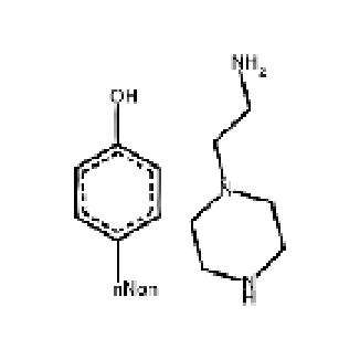 CCCCCCCCCc1ccc(O)cc1.NCCN1CCNCC1